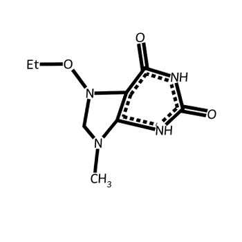 CCON1CN(C)c2[nH]c(=O)[nH]c(=O)c21